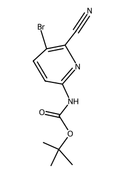 CC(C)(C)OC(=O)Nc1ccc(Br)c(C#N)n1